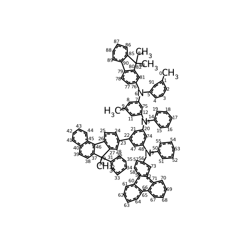 Cc1cccc(N(c2cc(C)cc(N(c3ccccc3)c3cc(-c4ccc5c(c4)C(C)(c4ccccc4)c4ccc6ccccc6c4-5)cc(N(c4ccccc4)c4ccc5c6ccccc6c6ccccc6c5c4)c3)c2)c2ccc3c(c2)C(C)(C)c2ccccc2-3)c1